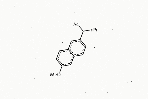 CCCC(C(C)=O)c1ccc2cc(OC)ccc2c1